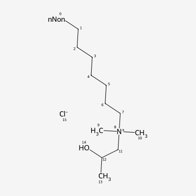 CCCCCCCCCCCCCCCC[N+](C)(C)CC(C)O.[Cl-]